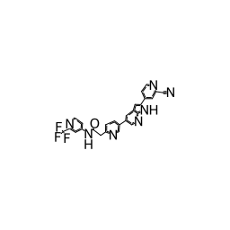 N#Cc1cc(-c2cc3cc(-c4ccc(CC(=O)Nc5ccnc(C(F)(F)F)c5)nc4)cnc3[nH]2)ccn1